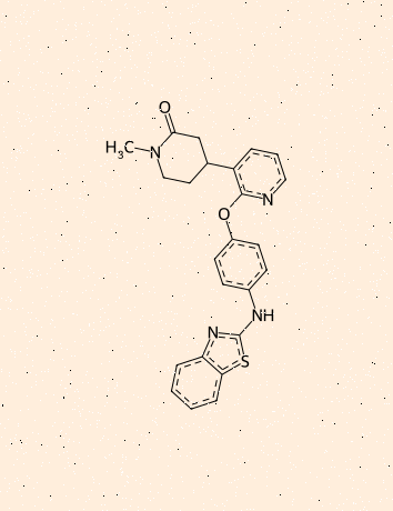 CN1CCC(c2cccnc2Oc2ccc(Nc3nc4ccccc4s3)cc2)CC1=O